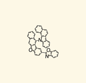 c1ccc2c(-n3c4ccccc4c4ccc5ccccc5c43)c3c(cc2c1)oc1ccc(-c2nc4ccccc4o2)cc13